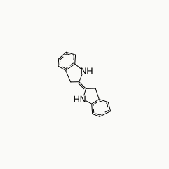 c1ccc2c(c1)C/C(=C1/Cc3ccccc3N1)N2